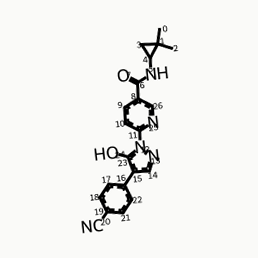 CC1(C)CC1NC(=O)c1ccc(-n2ncc(-c3ccc(C#N)cc3)c2O)nc1